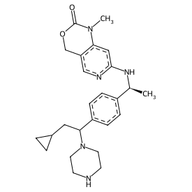 C[C@H](Nc1cc2c(cn1)COC(=O)N2C)c1ccc(C(CC2CC2)N2CCNCC2)cc1